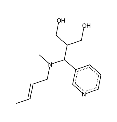 CC=CCN(C)C(c1cccnc1)C(CO)CO